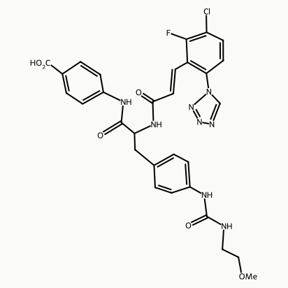 COCCNC(=O)Nc1ccc(CC(NC(=O)C=Cc2c(-n3cnnn3)ccc(Cl)c2F)C(=O)Nc2ccc(C(=O)O)cc2)cc1